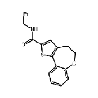 CC(C)CNC(=O)c1cc2c(s1)-c1ccccc1OCC2